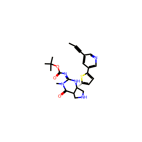 CC#Cc1cncc(-c2ccc([C@]34CNCC3C(=O)N(C)/C(=N\C(=O)OC(C)(C)C)N4)s2)c1